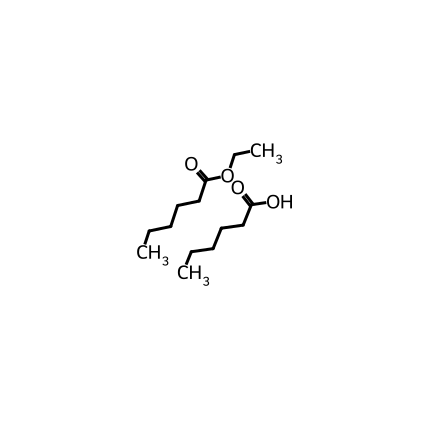 CCCCCC(=O)O.CCCCCC(=O)OCC